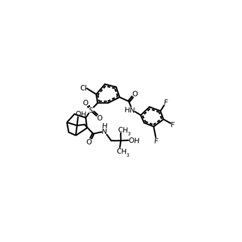 CC(C)(O)CNC(=O)CC1(O)C2CC1CC(S(=O)(=O)c1cc(C(=O)Nc3cc(F)c(F)c(F)c3)ccc1Cl)C2